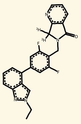 [2H]C1([2H])c2ncccc2C(=O)N1Cc1c(F)cc(-c2cccc3nn(CC)cc23)cc1F